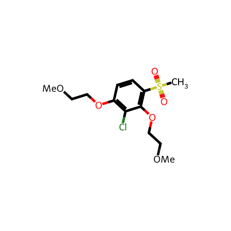 COCCOc1ccc(S(C)(=O)=O)c(OCCOC)c1Cl